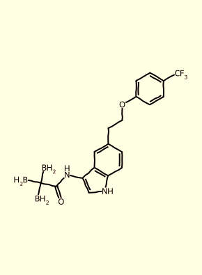 BC(B)(B)C(=O)Nc1c[nH]c2ccc(CCOc3ccc(C(F)(F)F)cc3)cc12